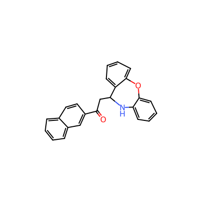 O=C(CC1Nc2ccccc2Oc2ccccc21)c1ccc2ccccc2c1